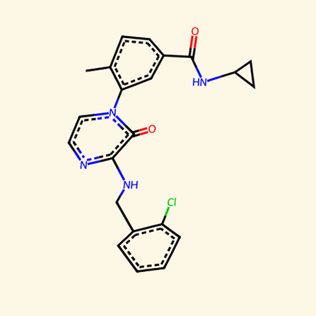 Cc1ccc(C(=O)NC2CC2)cc1-n1ccnc(NCc2ccccc2Cl)c1=O